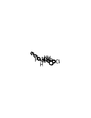 Nc1nc(Nc2ccc(N3CCC(N4CCCC4)CC3)c(F)c2)nn1-c1cc2c(nn1)-c1ccc(Cl)cc1CCC2